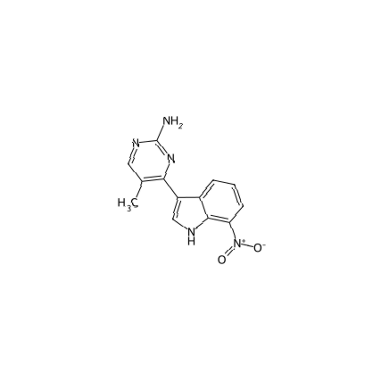 Cc1cnc(N)nc1-c1c[nH]c2c([N+](=O)[O-])cccc12